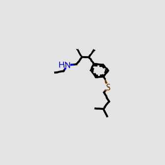 CCNCC(C)C(C)c1ccc(SCCC(C)C)cc1